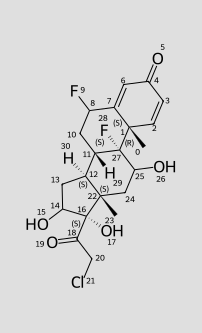 C[C@]12C=CC(=O)C=C1C(F)C[C@H]1[C@@H]3CC(O)[C@](O)(C(=O)CCl)[C@@]3(C)CC(O)[C@@]12F